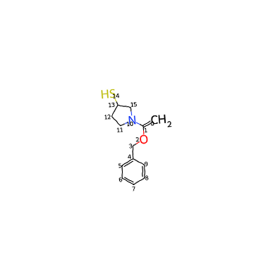 C=C(OCc1ccccc1)N1CCC(S)C1